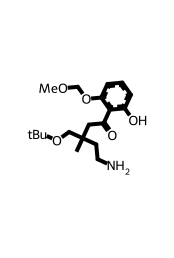 COCOc1cccc(O)c1C(=O)CC(C)(CCN)COC(C)(C)C